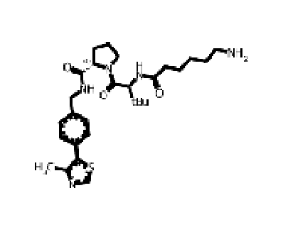 Cc1ncsc1-c1ccc(CNC(=O)[C@@H]2CCCN2C(=O)C(NC(=O)CCCCCN)C(C)(C)C)cc1